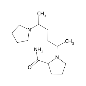 CC(CCC(C)N1CCCC1C(N)=O)N1CCCC1